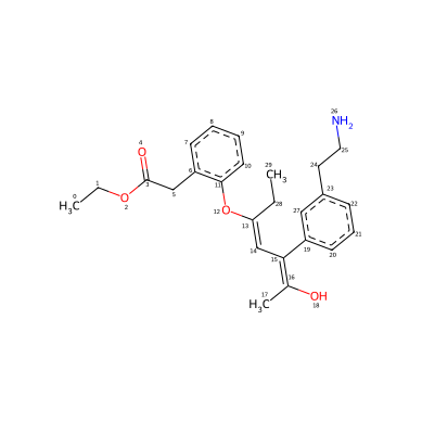 CCOC(=O)Cc1ccccc1O/C(=C/C(=C(\C)O)c1cccc(CCN)c1)CC